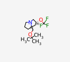 CC(C)(C)OC[C@@]12CCCN1C[C@H](OC(F)(F)F)C2